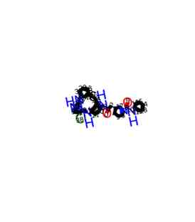 O=C(C[C@H]1CCCN(C(=O)Nc2ccccc2)C1)Nc1ccc2cc1CCc1cccc(c1)Nc1ncc(Cl)c(n1)N2